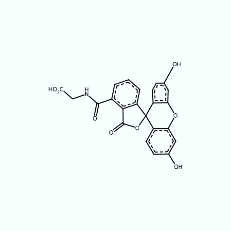 O=C(O)CNC(=O)c1cccc2c1C(=O)OC21c2ccc(O)cc2Oc2cc(O)ccc21